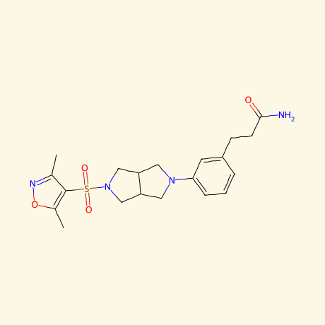 Cc1noc(C)c1S(=O)(=O)N1CC2CN(c3cccc(CCC(N)=O)c3)CC2C1